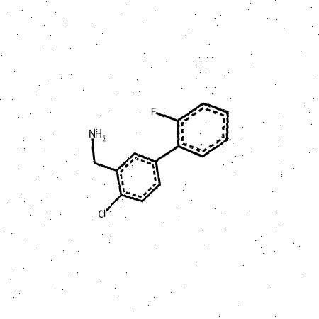 NCc1cc(-c2c[c]ccc2F)ccc1Cl